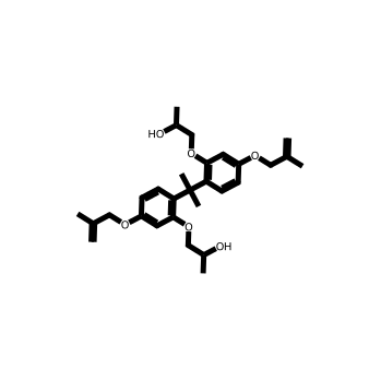 C=C(C)COc1ccc(C(C)(C)c2ccc(OCC(=C)C)cc2OCC(C)O)c(OCC(C)O)c1